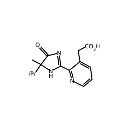 CC(C)C1(C)NC(c2ncccc2CC(=O)O)=NC1=O